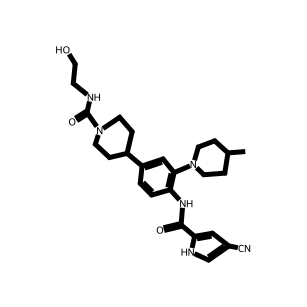 CC1CCN(c2cc(C3CCN(C(=O)NCCO)CC3)ccc2NC(=O)c2cc(C#N)c[nH]2)CC1